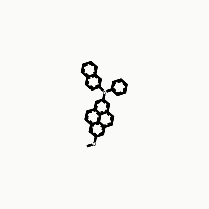 COc1cc2ccc3cc(N(c4ccccc4)c4ccc5ccccc5c4)cc4ccc(c1)c2c34